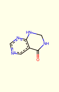 O=C1NCNc2ncncc21